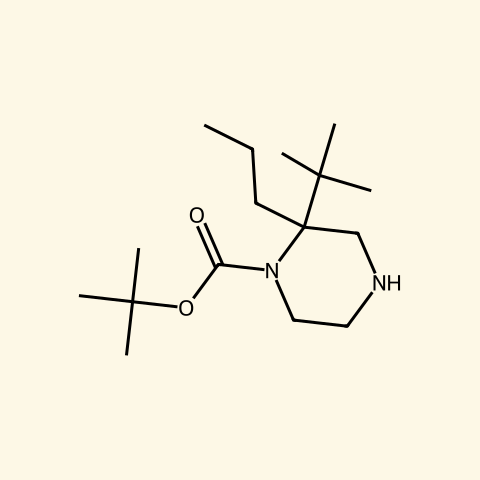 CCCC1(C(C)(C)C)CNCCN1C(=O)OC(C)(C)C